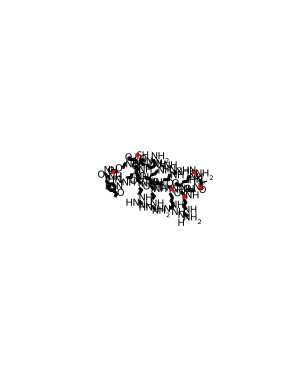 CN[C@@H](C)C(=O)NCC(=O)N[C@H](CCCNC(=N)N)C(=O)N[C@H](CCCNC(=N)N)C(=O)N[C@H](CCCNC(=N)N)C(=O)N[C@H](CCCNC(=N)N)C(=O)N[C@H](CCCNC(=N)N)C(=O)N[C@H](CCCNC(=N)N)C(=O)N[C@H](CCCNC(=N)N)C(=O)N[C@H](CCCNC(=N)N)C(=O)N[C@H](CCCNC(=N)N)C(=O)N[C@H](CS)C(=O)NCCOCC(=O)N[C@@H](Cc1ccc(C(C)=O)cc1)C(N)=O